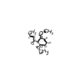 CC=CC(=O)c1c(OC)cccc1OC